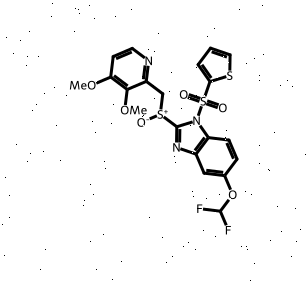 COc1ccnc(C[S+]([O-])c2nc3cc(OC(F)F)ccc3n2S(=O)(=O)c2cccs2)c1OC